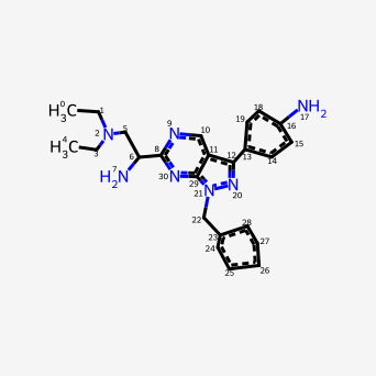 CCN(CC)CC(N)c1ncc2c(-c3ccc(N)cc3)nn(Cc3ccccc3)c2n1